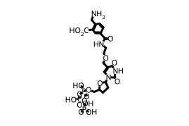 NCc1ccc(C(=O)NCCOCc2cn(C3CCC(COP(=O)(O)OP(=O)(O)OP(=O)(O)O)O3)c(=O)[nH]c2=O)cc1C(=O)O